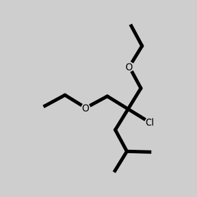 CCOCC(Cl)(COCC)CC(C)C